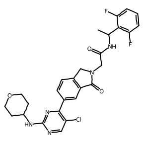 CC(NC(=O)CN1Cc2ccc(-c3nc(NC4CCOCC4)ncc3Cl)cc2C1=O)c1c(F)cccc1F